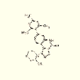 COc1nc(C)cc(C)c1-c1ccc2c(c1)[nH]c(=O)c1cnn([C@H]3CCOCC3C)c12